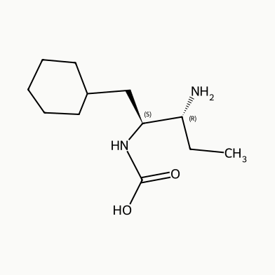 CC[C@@H](N)[C@H](CC1CCCCC1)NC(=O)O